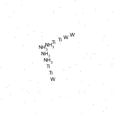 N.N.N.N.[Ti].[Ti].[Ti].[Ti].[W].[W].[W]